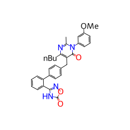 CCCCc1nc(C)n(-c2cccc(OC)c2)c(=O)c1Cc1ccc(-c2ccccc2-c2noc(=O)[nH]2)cc1